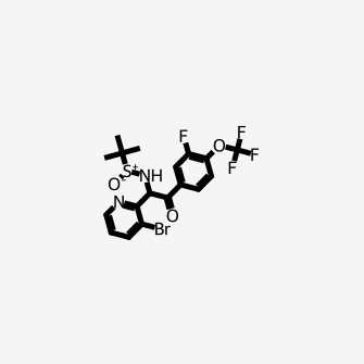 CC(C)(C)[S+]([O-])NC(C(=O)c1ccc(OC(F)(F)F)c(F)c1)c1ncccc1Br